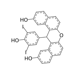 Oc1ccc2ccc3c(c2c1)C(c1cc(I)c(O)c(I)c1)c1c(ccc2ccc(O)cc12)O3